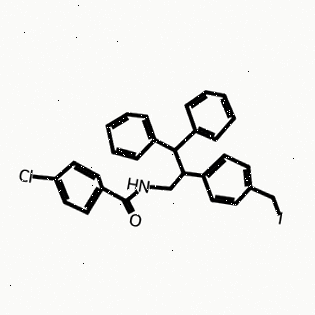 O=C(NCC(c1ccc(CI)cc1)C(c1ccccc1)c1ccccc1)c1ccc(Cl)cc1